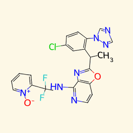 CC(c1nc2c(NCC(F)(F)c3cccc[n+]3[O-])nccc2o1)c1cc(Cl)ccc1-n1cncn1